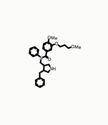 COCCCOc1cc(C(=O)N(CC2CNCC2Cc2ccccc2)c2ccccc2)ccc1OC